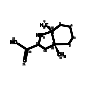 C[C@@]12CCCC[C@]1(C)NC(C(=O)O)C2